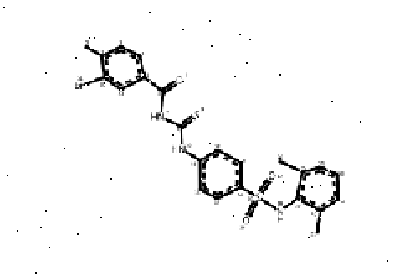 Cc1ccc(C(=O)NC(=S)Nc2ccc(S(=O)(=O)Nc3c(C)cccc3C)cc2)cc1Br